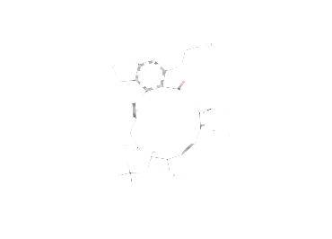 COCOc1cc2c(c3c1C(=O)O[C@@H](C)[C@H](C)/C=C\C(O)[C@H]1OC(C)(C)O[C@H]1C/C=C/3)OCO2